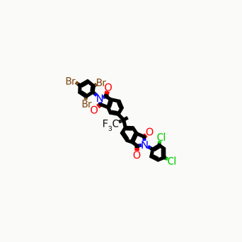 CC(c1ccc2c(c1)C(=O)N(c1ccc(Cl)cc1Cl)C2=O)(c1ccc2c(c1)C(=O)N(c1c(Br)cc(Br)cc1Br)C2=O)C(F)(F)F